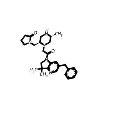 C[C@@H]1CN(CC(=O)N2CC(C)(C)c3ncc(Cc4ccccc4)cc32)[C@@H](CN2CCCC2=O)CN1